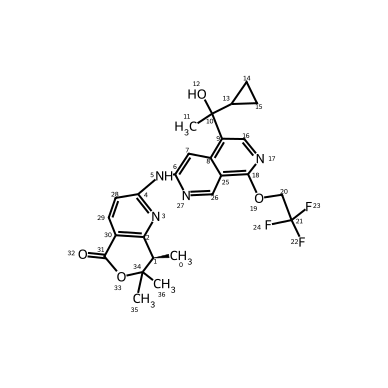 C[C@@H]1c2nc(Nc3cc4c(C(C)(O)C5CC5)cnc(OCC(F)(F)F)c4cn3)ccc2C(=O)OC1(C)C